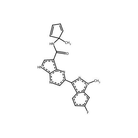 Cn1nc(-c2cnc3[nH]cc(C(=O)NC4(C)C=CC=C4)c3n2)c2ccc(F)cc21